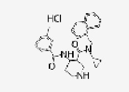 Cc1cc(C)cc(C(=O)NC2CCNCC2C(=O)N(Cc2cccc3ccccc23)C2CC2)c1.Cl